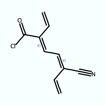 C=C/C(C#N)=C\C=C(/C=C)C(=O)Cl